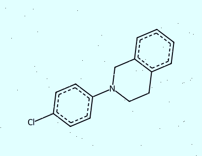 Clc1ccc(N2CCc3ccccc3C2)cc1